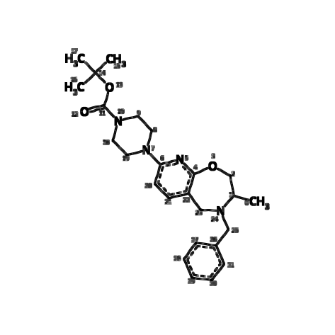 CC1COc2nc(N3CCN(C(=O)OC(C)(C)C)CC3)ccc2CN1Cc1ccccc1